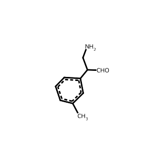 Cc1cccc(C(C=O)CN)c1